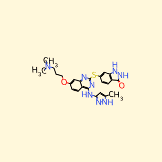 Cc1cc(Nc2nc(Sc3ccc4c(=O)[nH][nH]c4c3)nc3cc(OCCCN(C)C)ccc23)n[nH]1